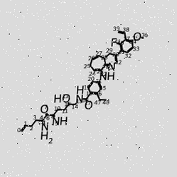 C=CCC[C@H](N)C(=O)C(=N)CCC(O)CNC(=O)c1ccc(NC2=CCC=CC3CC(c4ccc(OC)c(C=C)c4F)=CN=C23)cc1CC